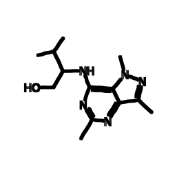 Cc1nc(NC(CO)C(C)C)c2c(n1)c(C)nn2C